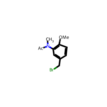 COc1ccc(CBr)cc1N(C)C(C)=O